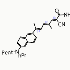 CCCCCN(CCC)c1ccc2cc(/C(C)=C/C=C(C)/C=C(\C#N)C(N)=O)ccc2c1